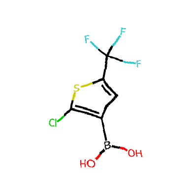 OB(O)c1cc(C(F)(F)F)sc1Cl